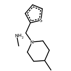 CC1CCN(Cc2cccs2)CC1.CN